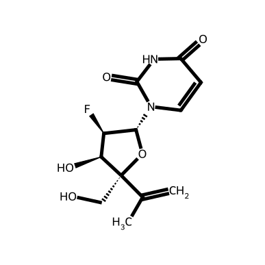 C=C(C)[C@]1(CO)O[C@@H](n2ccc(=O)[nH]c2=O)[C@H](F)[C@@H]1O